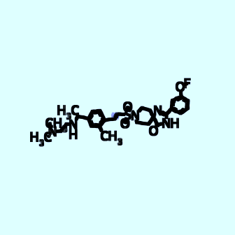 Cc1cc(C(C)NCCN(C)C)ccc1/C=C/S(=O)(=O)N1CCC2(CC1)N=C(c1cccc(OF)c1)NC2=O